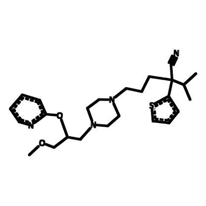 COCC(CN1CCN(CCCC(C#N)(c2cccs2)C(C)C)CC1)Oc1ccccn1